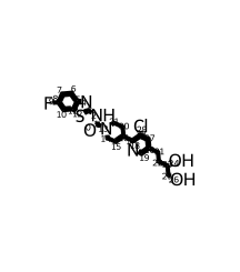 O=C(Nc1nc2ccc(F)cc2s1)N1CC=C(c2ncc(CCC(O)CO)cc2Cl)CC1